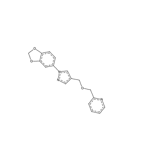 c1ccc(COCc2cnn(-c3ccc4c(c3)OCO4)c2)nc1